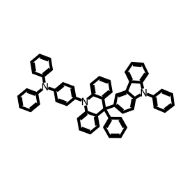 c1ccc(N(c2ccccc2)c2ccc(N3c4ccccc4C(c4ccccc4)(c4ccc5c(c4)c4ccccc4n5-c4ccccc4)c4ccccc43)cc2)cc1